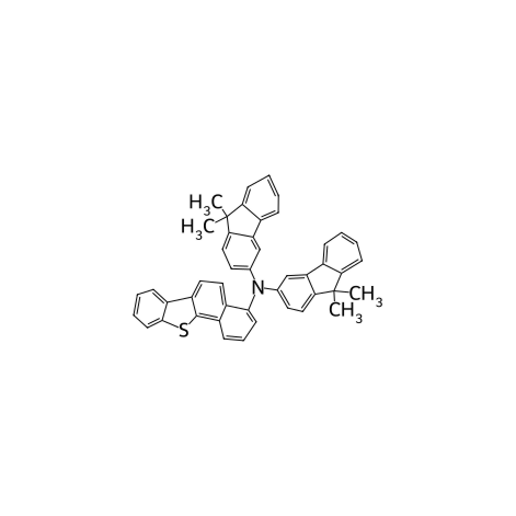 CC1(C)c2ccccc2-c2cc(N(c3ccc4c(c3)-c3ccccc3C4(C)C)c3cccc4c3ccc3c5ccccc5sc43)ccc21